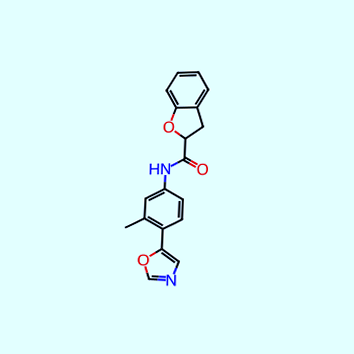 Cc1cc(NC(=O)C2Cc3ccccc3O2)ccc1-c1cnco1